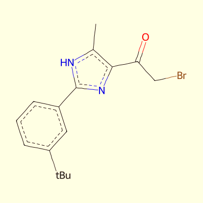 Cc1[nH]c(-c2cccc(C(C)(C)C)c2)nc1C(=O)CBr